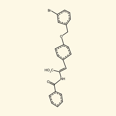 O=C(O)/C(=C\c1ccc(OCc2cccc(Br)c2)cc1)NC(=O)c1ccccc1